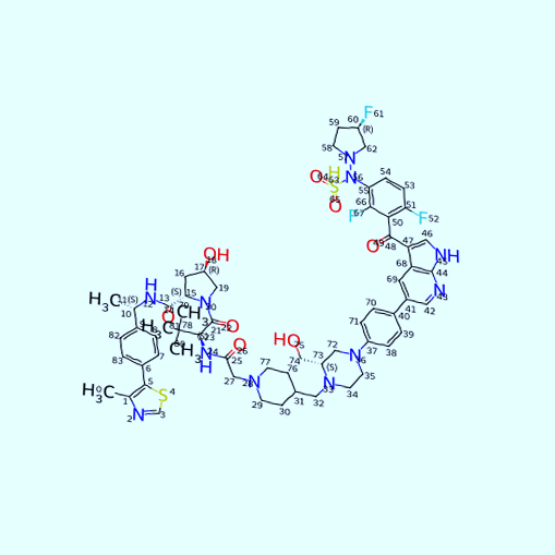 Cc1ncsc1-c1ccc([C@H](C)NC(=O)[C@@H]2C[C@@H](O)CN2C(=O)[C@@H](NC(=O)CN2CCC(CN3CCN(c4ccc(-c5cnc6[nH]cc(C(=O)c7c(F)ccc(N(N8CC[C@@H](F)C8)[SH](=O)=O)c7F)c6c5)cc4)C[C@H]3CO)CC2)C(C)(C)C)cc1